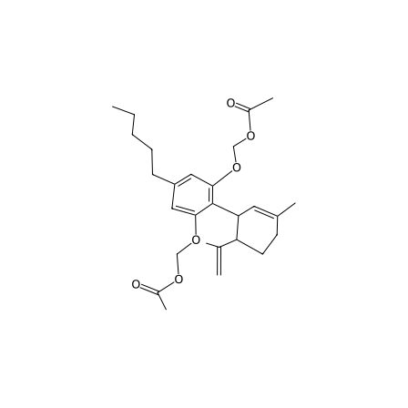 C=C(C)C1CCC(C)=CC1c1c(OCOC(C)=O)cc(CCCCC)cc1OCOC(C)=O